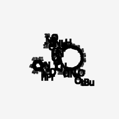 CCCn1c(O[C@@H]2C[C@H]3C(=O)N[C@]4(C(=O)NS(=O)(=O)N(C)C)C[C@H]4/C=C\CCCCC[C@H](NC(=O)OC(C)(C)C)C(=O)N3C2)nc2ccccc21